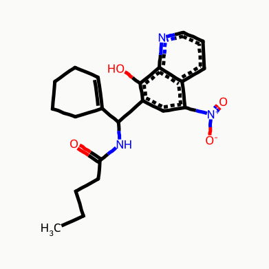 CCCCC(=O)NC(C1=CCCCC1)c1cc([N+](=O)[O-])c2cccnc2c1O